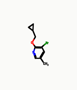 Cc1cnc(OCC2CC2)c(Br)c1